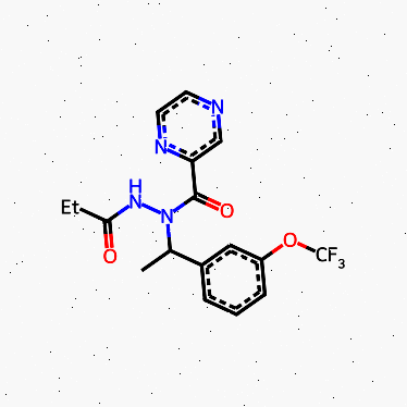 CCC(=O)NN(C(=O)c1cnccn1)C(C)c1cccc(OC(F)(F)F)c1